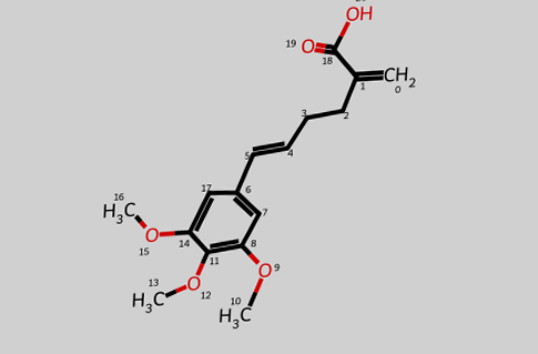 C=C(CCC=Cc1cc(OC)c(OC)c(OC)c1)C(=O)O